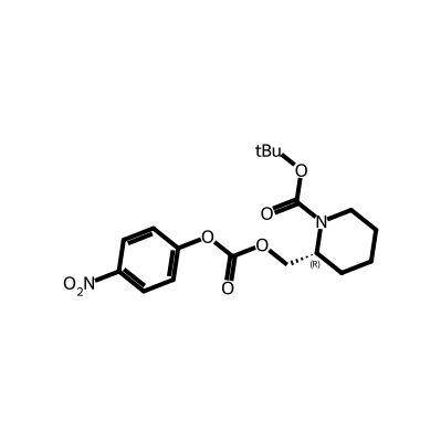 CC(C)(C)OC(=O)N1CCCC[C@@H]1COC(=O)Oc1ccc([N+](=O)[O-])cc1